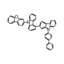 c1ccc(-c2ccc(-n3c4ccccc4c4ccc(-c5cccc6c5c5ccccc5n6-c5ccc6c(c5)oc5ccccc56)cc43)cc2)cc1